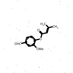 COc1cc(C=O)ccc1OC(=O)C=C(C)C